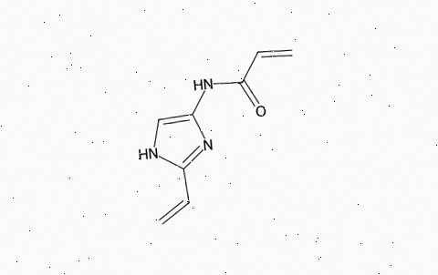 C=CC(=O)Nc1c[nH]c(C=C)n1